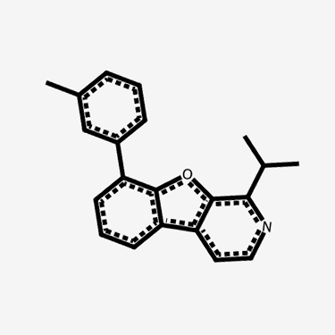 Cc1cccc(-c2cccc3c2oc2c(C(C)C)nccc23)c1